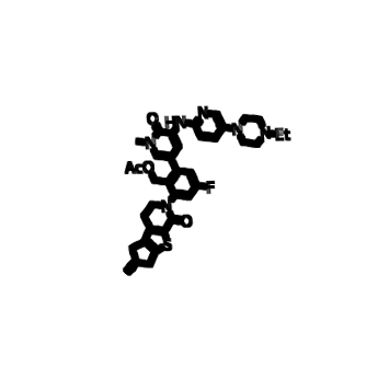 C=C1Cc2sc3c(c2C1)CCN(c1cc(F)cc(-c2cc(Nc4ccc(N5CCN(CC)CC5)cn4)c(=O)n(C)c2)c1COC(C)=O)C3=O